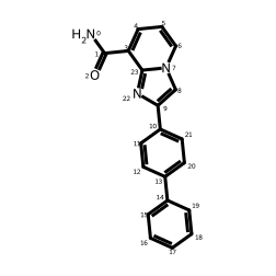 NC(=O)c1cccn2cc(-c3ccc(-c4ccccc4)cc3)nc12